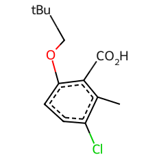 Cc1c(Cl)ccc(OCC(C)(C)C)c1C(=O)O